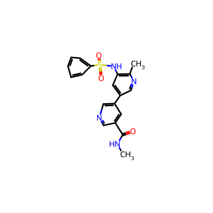 CNC(=O)c1cncc(-c2cnc(C)c(NS(=O)(=O)c3ccccc3)c2)c1